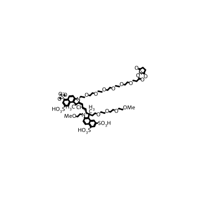 COCCOCCOCCOCCC1(C)C(/C=C/C=C2/N(CCOCCOCCOCCOCCOCCOCCC(=O)ON3C(=O)CCC3=O)c3ccc4c(S(=O)(=O)[O-])cc(S(=O)(=O)O)cc4c3C2(C)C)=[N+](CCOC)c2ccc3c(S(=O)(=O)O)cc(S(=O)(=O)O)cc3c21